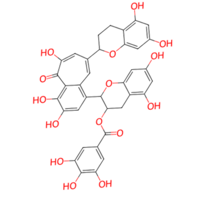 O=C(OC1Cc2c(O)cc(O)cc2OC1c1cc(O)c(O)c2c(=O)c(O)cc(C3CCc4c(O)cc(O)cc4O3)cc12)c1cc(O)c(O)c(O)c1